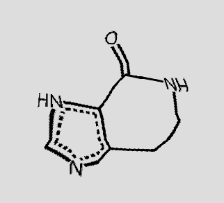 O=C1NCCc2nc[nH]c21